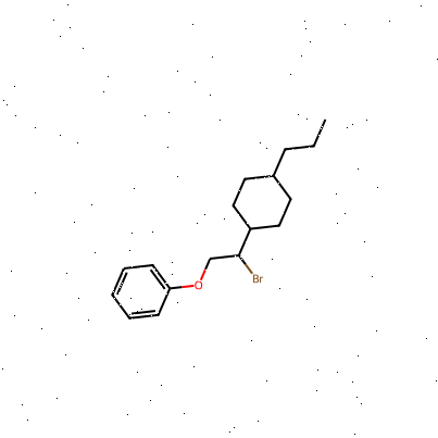 CCCC1CCC(C(Br)COc2ccccc2)CC1